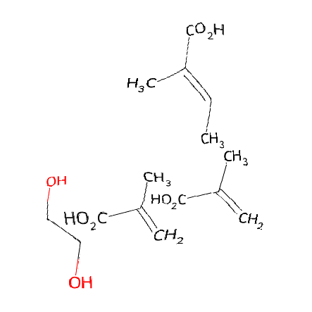 C=C(C)C(=O)O.C=C(C)C(=O)O.CC=C(C)C(=O)O.OCCO